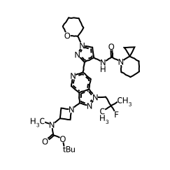 CN(C(=O)OC(C)(C)C)C1CN(c2nn(CC(C)(C)F)c3cc(-c4nn(C5CCCCO5)cc4NC(=O)N4CCCCC45CC5)ncc23)C1